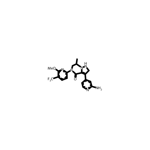 COc1nc(N2CC(C)N3NCC(c4ccnc(N)c4)=C3C2=O)ccc1C(F)(F)F